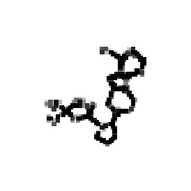 CC(C)(C)OC(=O)N1CCCC1N1CCn2c(cc3c(Cl)ncnc32)C1